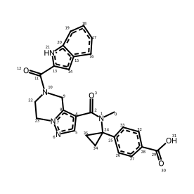 CN(C(=O)c1cnn2c1CN(C(=O)c1cc3ccccc3[nH]1)CC2)C1(c2ccc(C(=O)O)cc2)CC1